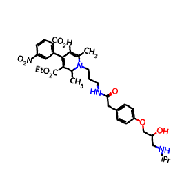 CCOC(=O)C1=C(c2cccc([N+](=O)[O-])c2)C(C(=O)O)=C(C)N(CCCNC(=O)Cc2ccc(OCC(O)CNC(C)C)cc2)C1C